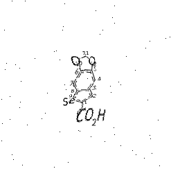 O=C(O)c1cc2cc3c(cc2[se]1)OCO3